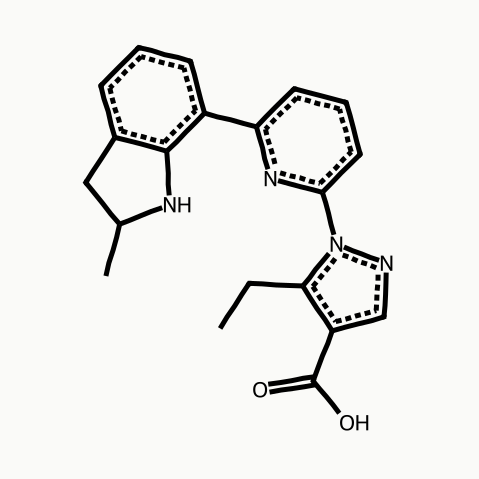 CCc1c(C(=O)O)cnn1-c1cccc(-c2cccc3c2NC(C)C3)n1